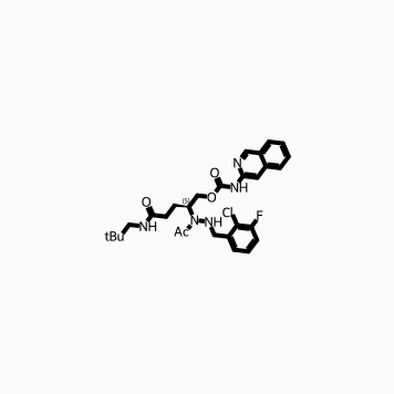 [CH2]C(C)(C)CNC(=O)CC[C@@H](COC(=O)Nc1cc2ccccc2cn1)N(NCc1cccc(F)c1Cl)C(C)=O